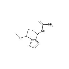 COC1CCC(NC(N)=O)c2ccsc21